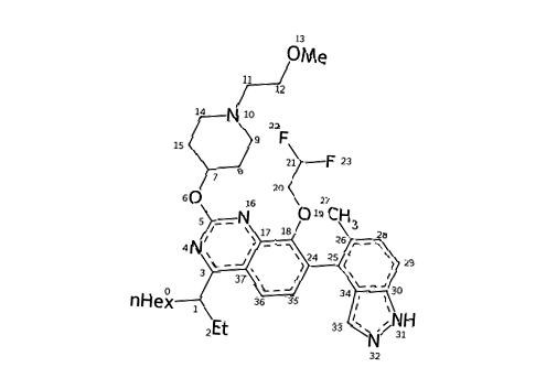 CCCCCCC(CC)c1nc(OC2CCN(CCOC)CC2)nc2c(OCC(F)F)c(-c3c(C)ccc4[nH]ncc34)ccc12